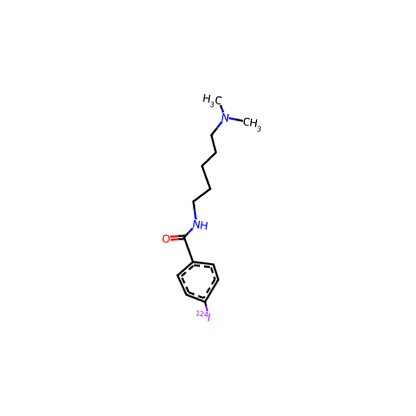 CN(C)CCCCCNC(=O)c1ccc([124I])cc1